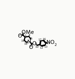 COC(=O)C1CCN(C(=O)OCc2ccc([N+](=O)[O-])cc2)CC1